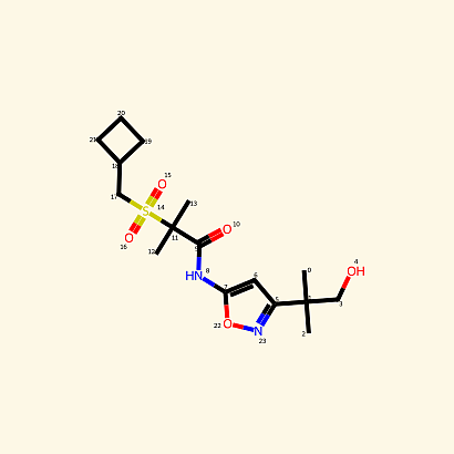 CC(C)(CO)c1cc(NC(=O)C(C)(C)S(=O)(=O)CC2CCC2)on1